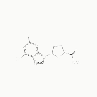 CNC(=O)[C@@H]1CC[C@H](n2cnc3c(Br)cc(Br)nc32)O1